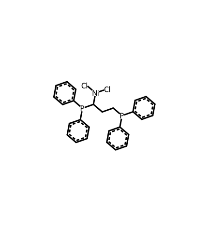 [Cl][Ni]([Cl])[CH](CCP(c1ccccc1)c1ccccc1)P(c1ccccc1)c1ccccc1